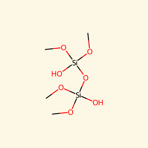 CO[Si](O)(OC)O[Si](O)(OC)OC